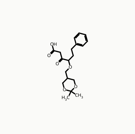 CC1(C)OCC(COC(CCc2ccccc2)C(=O)CC(=O)O)CO1